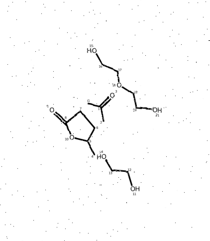 CC(C)=O.CC1CCC(=O)O1.OCCO.OCCOCCO